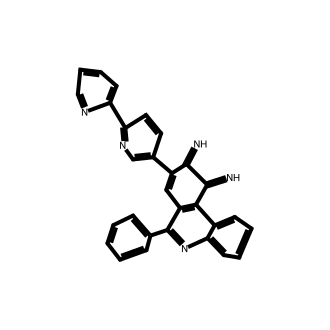 N=C1C(=N)c2c(c(-c3ccccc3)nc3ccccc23)C=C1c1ccc(-c2ccccn2)nc1